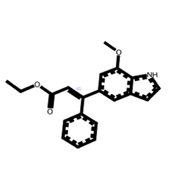 CCOC(=O)/C=C(\c1ccccc1)c1cc(OC)c2[nH]ccc2c1